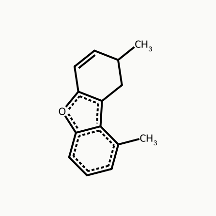 Cc1cccc2oc3c(c12)CC(C)C=C3